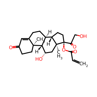 C=CC(=O)O[C@]1(C(=O)CO)CC[C@H]2[C@@H]3CCC4=CC(=O)CC[C@]4(C)[C@H]3[C@@H](O)C[C@@]21C